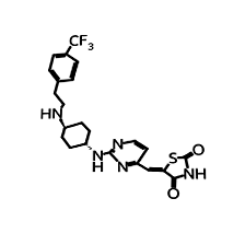 O=C1NC(=O)/C(=C/c2ccnc(N[C@H]3CC[C@H](NCCc4ccc(C(F)(F)F)cc4)CC3)n2)S1